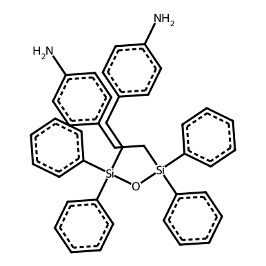 Nc1ccc(CC[Si](O[Si](CCc2ccc(N)cc2)(c2ccccc2)c2ccccc2)(c2ccccc2)c2ccccc2)cc1